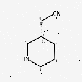 N#CC[C@@H]1CCCNC1